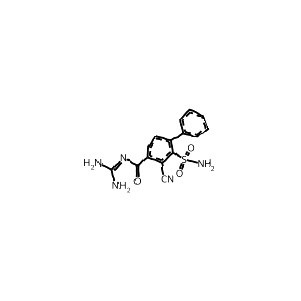 N#Cc1c(C(=O)N=C(N)N)ccc(-c2ccccc2)c1S(N)(=O)=O